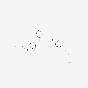 CNC(=O)c1ccc(C(CCNC(=O)c2ccc(OCCN3CCCC3)nc2)c2ccc(F)cc2)cc1